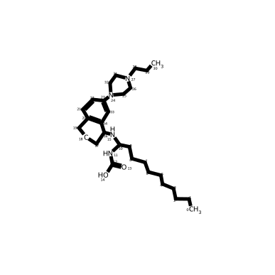 CCCCCCCCCCC(NC(=O)O)NC1CCCc2ccc(N3CCN(CCC)CC3)cc21